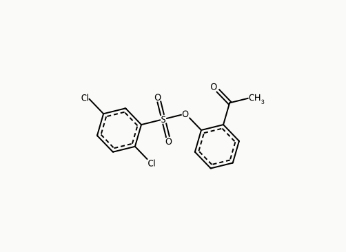 CC(=O)c1ccccc1OS(=O)(=O)c1cc(Cl)ccc1Cl